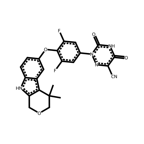 CC1(C)COCc2[nH]c3ccc(Oc4c(F)cc(-n5nc(C#N)c(=O)[nH]c5=O)cc4F)cc3c21